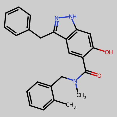 Cc1ccccc1CN(C)C(=O)c1cc2c(Cc3ccccc3)n[nH]c2cc1O